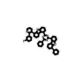 Fc1cccc(-c2ncccc2-c2cccc3c2sc2cccc(-c4nc(-c5ccccc5)nc(-c5cccc6oc7c(-c8ccccc8)cccc7c56)n4)c23)c1